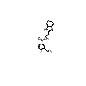 Cc1ccc(C(=O)NCCc2nc3ccccc3[nH]2)cc1[N+](=O)[O-]